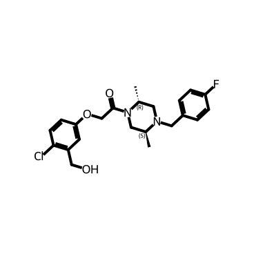 C[C@@H]1CN(Cc2ccc(F)cc2)[C@@H](C)CN1C(=O)COc1ccc(Cl)c(CO)c1